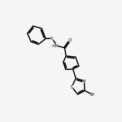 O=C(NSc1ccccc1)c1ccc(-c2nc(Br)cs2)cc1